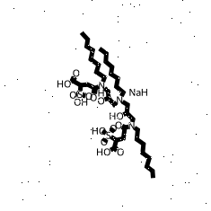 CCCCCCCCN(CC(O)CN(CCCCCCCC)C(=O)CC(C(=O)O)S(=O)(=O)O)CC(O)CN(CCCCCCCC)C(=O)CC(C(=O)O)S(=O)(=O)O.[NaH]